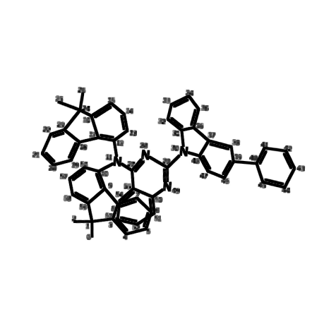 CC1(C)c2ccccc2-c2c(N(c3cccc4c3-c3ccccc3C4(C)C)c3nc(-n4c5ccccc5c5cc(-c6ccccc6)ccc54)nc4ccccc34)cccc21